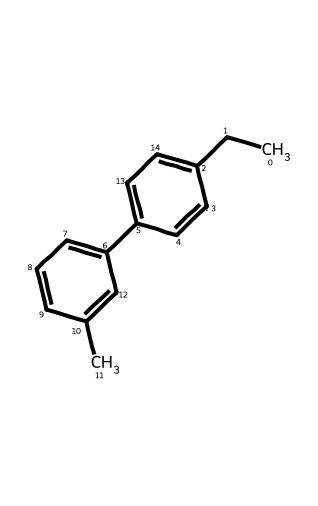 CCc1[c]cc(-c2cccc(C)c2)cc1